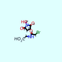 O=C(O)CNC(=O)CBr.O=C1CCC(=O)N1O